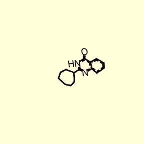 O=c1[nH]c(C2CCCCCC2)nc2ccccc12